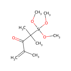 C=C(C)C(=O)C(C)(C)[Si](OC)(OC)OC